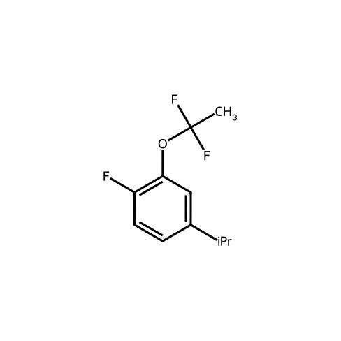 CC(C)c1ccc(F)c(OC(C)(F)F)c1